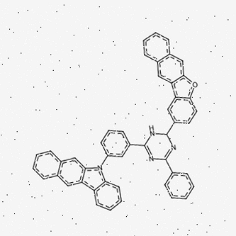 c1ccc(C2=NC(c3ccc4oc5cc6ccccc6cc5c4c3)NC(c3cccc(-n4c5ccccc5c5cc6ccccc6cc54)c3)=N2)cc1